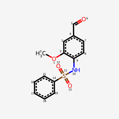 COc1cc(C=O)ccc1NS(=O)(=O)c1ccccc1